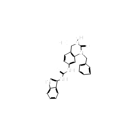 C[C@H]1c2ccc(NC(=O)Nc3c[nH]c4ccccc34)cc2N(Cc2ccccc2)C(=O)N1C